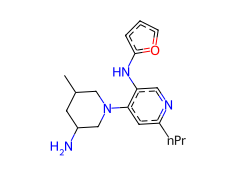 CCCc1cc(N2CC(C)CC(N)C2)c(Nc2ccco2)cn1